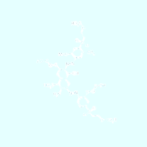 COc1cc(S(=O)(=O)CCOS(=O)(=O)O)c(C)cc1N=Nc1c(SOOO)cc2c(S(=O)(=O)O)c(N)c(N=Nc3ccc(S(=O)(=O)CCOS(=O)(=O)O)cc3SOOO)cc2c1O